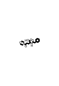 O=C(Cc1ccccc1)NC(CCC(=O)N1CCOCC1)C(=O)O